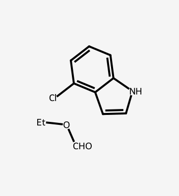 CCOC=O.Clc1cccc2[nH]ccc12